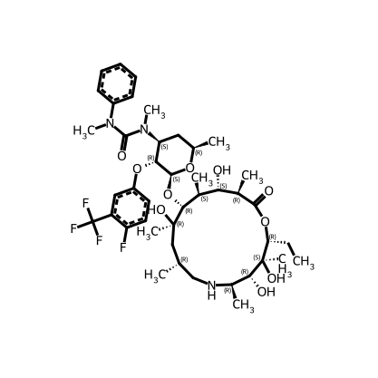 CC[C@H]1OC(=O)[C@H](C)[C@@H](O)[C@H](C)[C@@H](O[C@@H]2O[C@H](C)C[C@H](N(C)C(=O)N(C)c3ccccc3)[C@H]2Oc2ccc(F)c(C(F)(F)F)c2)[C@](C)(O)C[C@@H](C)CN[C@H](C)[C@@H](O)[C@]1(C)O